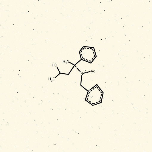 CC(=O)N(Cc1ccccc1)C(N)(CC(C)O)c1ccccc1